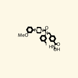 COc1cccc(N2CCN(C(=O)N(Cc3ccc(C(=O)NO)cc3)c3cccc(I)c3)CC2)c1